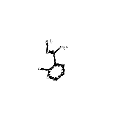 NN=C(C(=O)O)c1cccnc1F